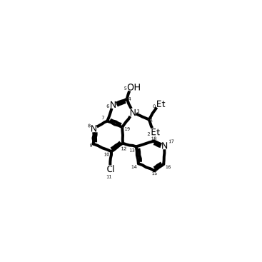 CCC(CC)n1c(O)nc2ncc(Cl)c(-c3cccnc3)c21